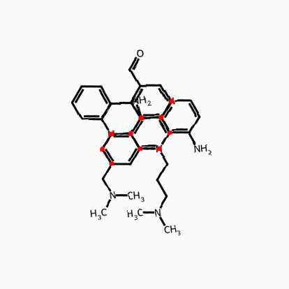 CN(C)CCCN(c1cnccc1N)c1ccccc1-c1cccc(C=O)c1-c1ccccc1N(CCCN(C)C)c1cnccc1N